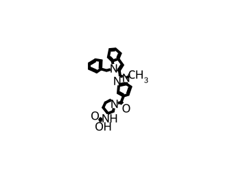 Cn1c(-c2cc3ccccc3n2Cc2ccccc2)nc2cc(C(=O)N3CCCC(NC(=O)O)C3)ccc21